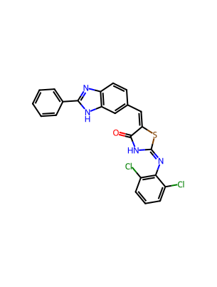 O=C1NC(=Nc2c(Cl)cccc2Cl)SC1=Cc1ccc2nc(-c3ccccc3)[nH]c2c1